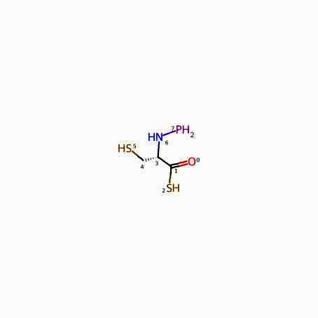 O=C(S)[C@H](CS)NP